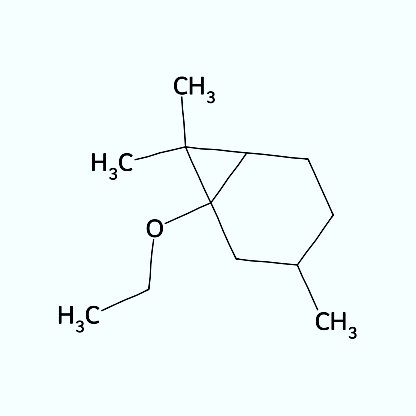 CCOC12CC(C)CCC1C2(C)C